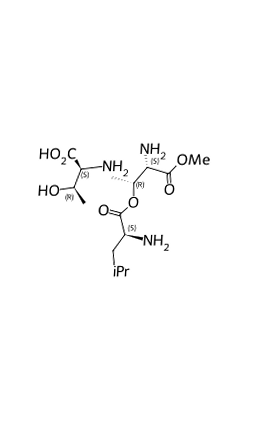 COC(=O)[C@@H](N)[C@@H](C)OC(=O)[C@@H](N)CC(C)C.C[C@@H](O)[C@H](N)C(=O)O